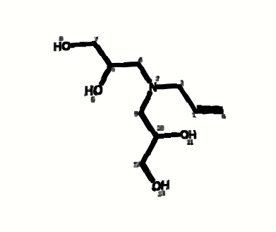 C=CCN(CC(O)CO)CC(O)CO